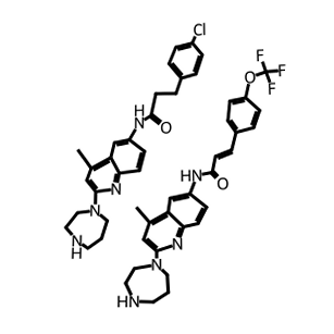 Cc1cc(N2CCCNCC2)nc2ccc(NC(=O)C=Cc3ccc(OC(F)(F)F)cc3)cc12.Cc1cc(N2CCCNCC2)nc2ccc(NC(=O)CCc3ccc(Cl)cc3)cc12